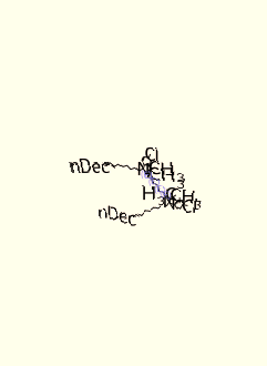 CCCCCCCCCCCCCCCCCCN1/C(=C/C=C/C=C/C=C/C2=[N+](CCCCCCCCCCCCCCCCCC)c3ccc(Cl)cc3C2(C)C)C(C)(C)c2cc(Cl)ccc21